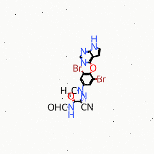 CN(/N=C(/C#N)C(=O)NC=O)c1cc(Br)c(Oc2ncnc3[nH]ccc23)c(Br)c1